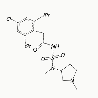 CC(C)c1cc(Cl)cc(C(C)C)c1CC(=O)NS(=O)(=O)N(C)C1CCN(C)C1